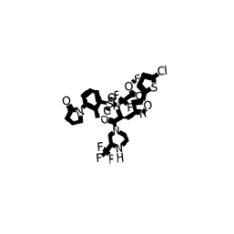 Cc1c(N2CCCC2=O)cccc1S(=O)(=O)N([C@@H](Cc1cc(-c2ccc(Cl)s2)on1)C(=O)N1CCNC(C(F)(F)F)C1)C(F)(F)C(=O)OF